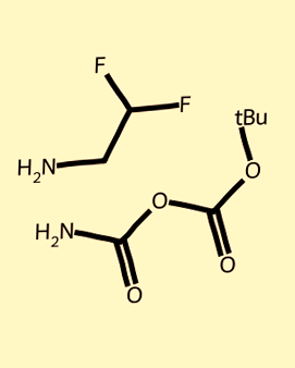 CC(C)(C)OC(=O)OC(N)=O.NCC(F)F